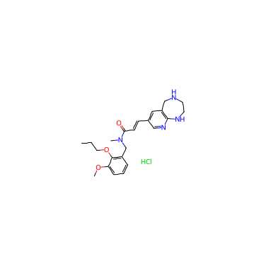 CCCOc1c(CN(C)C(=O)/C=C/c2cnc3c(c2)CNCCN3)cccc1OC.Cl